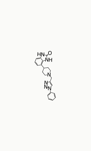 O=c1[nH]c2cccc(C3CCN(Cc4cn(-c5ccccc5)nn4)CC3)c2[nH]1